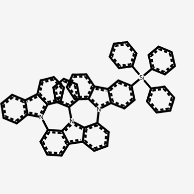 c1ccc(-n2c3c(-n4c5ccccc5c5ccccc54)cccc3c3cccc(-n4c5ccccc5c5cc([Si](c6ccccc6)(c6ccccc6)c6ccccc6)ccc54)c32)cc1